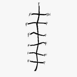 CC(F)(F)C(F)(F)C(F)(F)C(F)(F)C(F)(F)C(F)(F)S